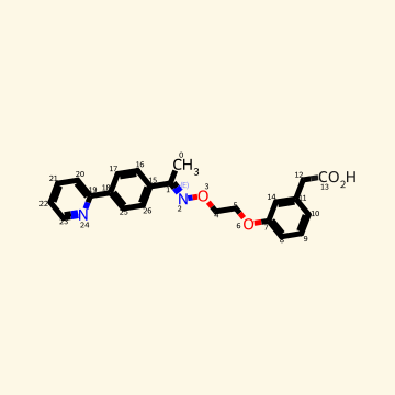 C/C(=N\OCCOc1cccc(CC(=O)O)c1)c1ccc(-c2ccccn2)cc1